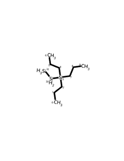 CCC[Si](CCC)(CCC)[SiH2][SiH3]